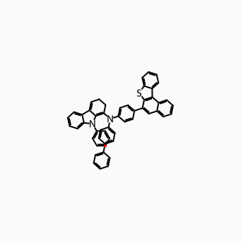 C1=c2c(n(-c3ccccc3)c3ccccc23)=C(N(c2ccc(-c3ccccc3)cc2)c2ccc(-c3cc4ccccc4c4c3sc3ccccc34)cc2)CC1